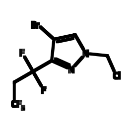 FC(F)(F)CC(F)(F)c1nn(CCl)cc1Br